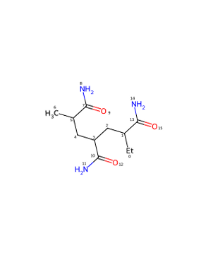 CCC(CC(CC(C)C(N)=O)C(N)=O)C(N)=O